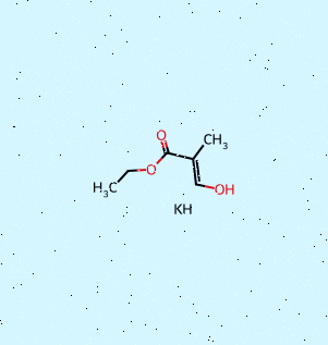 CCOC(=O)C(C)=CO.[KH]